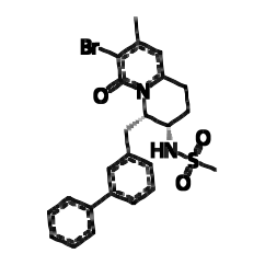 Cc1cc2n(c(=O)c1Br)[C@@H](Cc1cccc(-c3ccccc3)c1)[C@@H](NS(C)(=O)=O)CC2